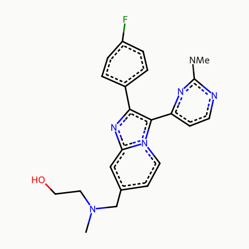 CNc1nccc(-c2c(-c3ccc(F)cc3)nc3cc(CN(C)CCO)ccn23)n1